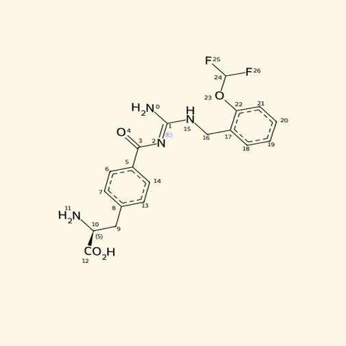 N/C(=N\C(=O)c1ccc(C[C@H](N)C(=O)O)cc1)NCc1ccccc1OC(F)F